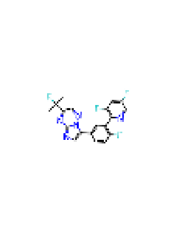 CC(C)(F)c1cnn2c(-c3ccc(F)c(-c4ncc(F)cc4F)c3)cnc2n1